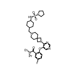 CCN(C(=O)c1cc(F)ccc1Oc1cncnc1N1CC2(CCN(CC3CCC(NS(=O)(=O)N4CCCC4)CC3)CC2)C1)C(C)C